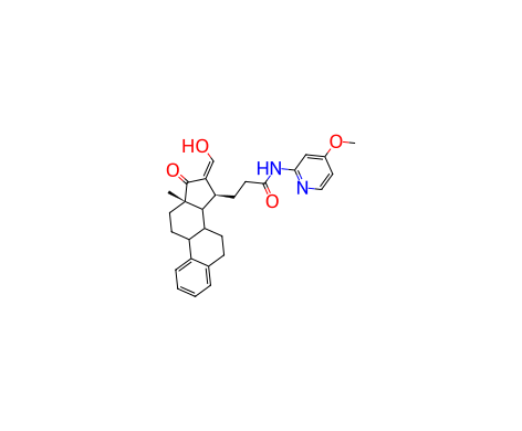 COc1ccnc(NC(=O)CC[C@@H]2/C(=C/O)C(=O)[C@@]3(C)CCC4c5ccccc5CCC4C23)c1